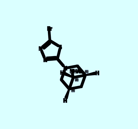 CC(=O)N[C@H]1[C@@H]2C[C@H]1CN(c1nnc(Br)s1)C2